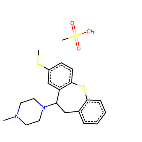 CS(=O)(=O)O.CSc1ccc2c(c1)C(N1CCN(C)CC1)Cc1ccccc1S2